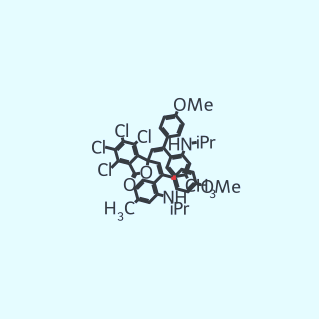 COc1ccc(C(=CC2(C=C(c3ccc(OC)cc3)c3ccc(C)cc3NC(C)C)OC(=O)c3c(Cl)c(Cl)c(Cl)c(Cl)c32)c2ccc(C)cc2NC(C)C)cc1